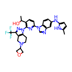 Cc1ccc(Nc2ccc3c(c2)ncn3-c2ccc(C(C)O)c(-n3nc(C(F)(F)F)c4c3CCN(C3COC3)C4)n2)[nH]1